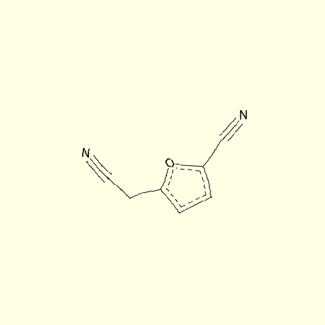 N#CCc1ccc(C#N)o1